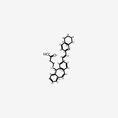 O=C(O)CCSC1c2ccccc2C=Cc2ccc(/C=C/c3ccc4c(n3)CCCC4)cc21